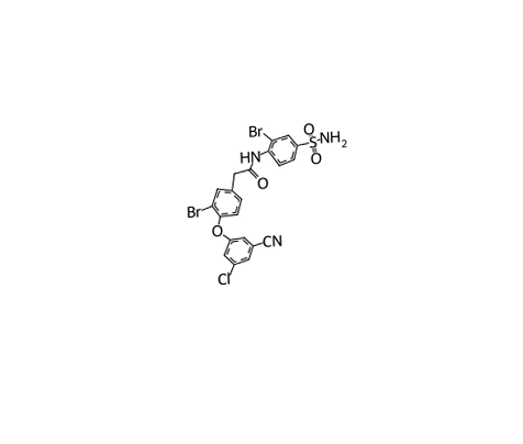 N#Cc1cc(Cl)cc(Oc2ccc(CC(=O)Nc3ccc(S(N)(=O)=O)cc3Br)cc2Br)c1